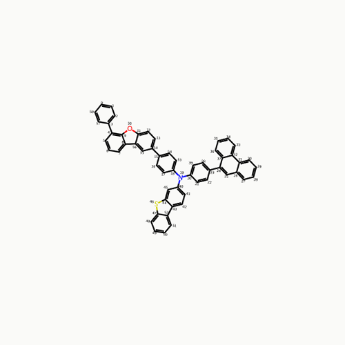 c1ccc(-c2cccc3c2oc2ccc(-c4ccc(N(c5ccc(-c6cc7ccccc7c7ccccc67)cc5)c5ccc6c(c5)sc5ccccc56)cc4)cc23)cc1